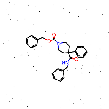 O=C(OCc1ccccc1)N1CCC(C(=O)NCc2ccccc2)(c2ccccc2)CC1